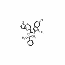 Cn1nc(C2(C(=O)NC(C)(C)c3ccccc3)C=Nc3[nH]ccc3N2)c2ccc(Cl)cc21